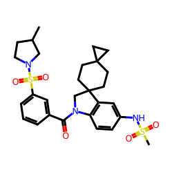 CC1CCN(S(=O)(=O)c2cccc(C(=O)N3CC4(CCC5(CC5)CC4)c4cc(NS(C)(=O)=O)ccc43)c2)C1